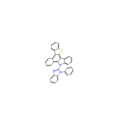 c1ccc(-n2c(-n3c4ccccc4c4c5sc6ccccc6c5c5ccccc5c43)nc3ccccc32)cc1